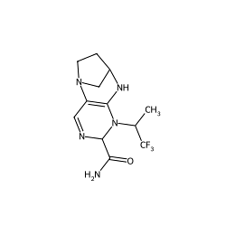 CC(N1C2=C(C=NC1C(N)=O)N1CCC(C1)N2)C(F)(F)F